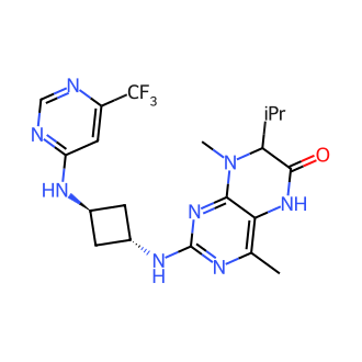 Cc1nc(N[C@H]2C[C@H](Nc3cc(C(F)(F)F)ncn3)C2)nc2c1NC(=O)C(C(C)C)N2C